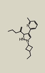 C=C(CCC)C1NN(C2CC(CC)C2)C=C1c1cccc(C)n1